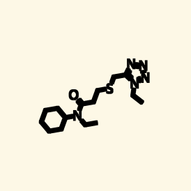 CCN(C(=O)CCSCc1nnnn1CC)C1CCCCC1